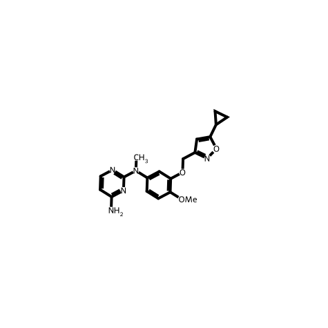 COc1ccc(N(C)c2nccc(N)n2)cc1OCc1cc(C2CC2)on1